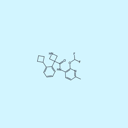 Cc1ccc(NC(=O)C2(c3ccccc3C3CCC3)CNC2)c(OC(F)F)n1